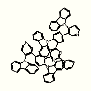 c1ccc(-c2nc(-c3cc(-c4cnccc4-n4c5ccccc5c5ccccc54)ccc3-n3c4ccccc4c4ccccc43)nc(-c3cc(-c4cnccc4-n4c5ccccc5c5ccccc54)ccc3-n3c4ccccc4c4ccccc43)n2)cc1